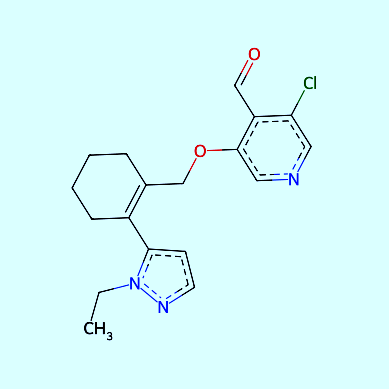 CCn1nccc1C1=C(COc2cncc(Cl)c2C=O)CCCC1